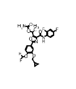 CC(OC(N)=O)c1oc(-c2ccc(OC(F)F)c(OCC3CC3)c2)nc1C(=O)Nc1ccc(F)cc1F